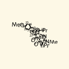 CCCN(C(=O)NC)C(=O)N(O)C(=O)C(C)(CCC(C)C)S(=O)(=O)Cc1ccc(OC)cc1